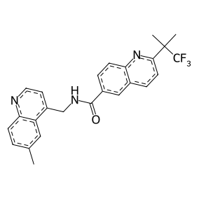 Cc1ccc2nccc(CNC(=O)c3ccc4nc(C(C)(C)C(F)(F)F)ccc4c3)c2c1